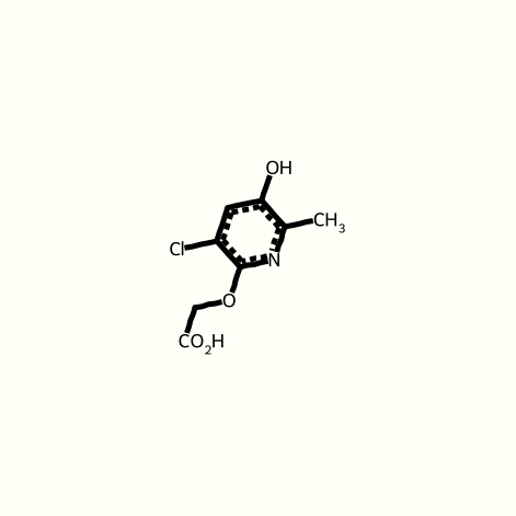 Cc1nc(OCC(=O)O)c(Cl)cc1O